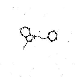 Ic1cn(CCc2ccccc2)c2ccccc12